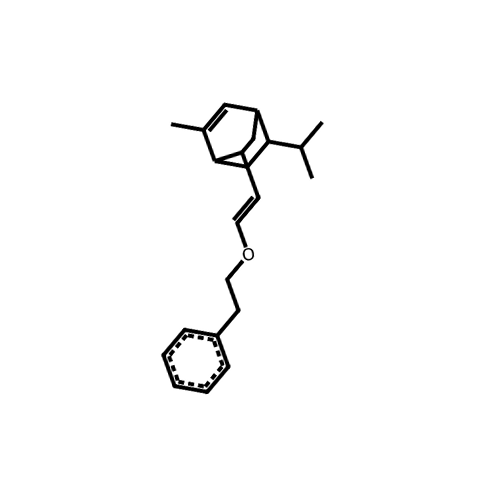 CC1=CC2CC(C=COCCc3ccccc3)C1CC2C(C)C